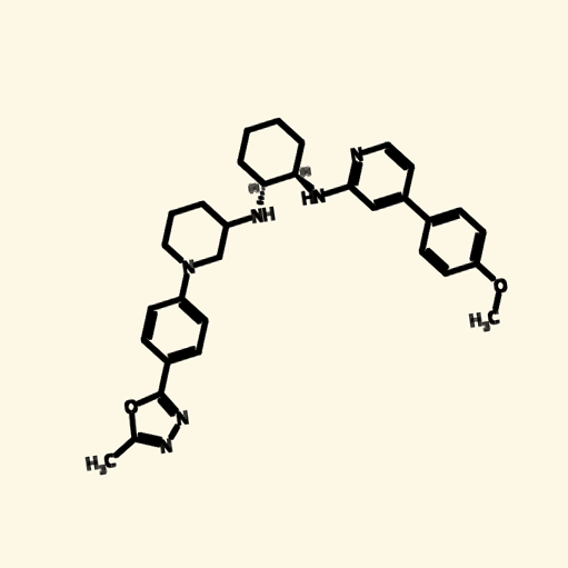 COc1ccc(-c2ccnc(N[C@@H]3CCCC[C@H]3NC3CCCN(c4ccc(-c5nnc(C)o5)cc4)C3)c2)cc1